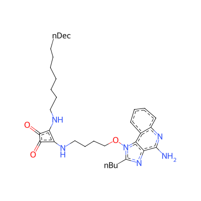 CCCCCCCCCCCCCCCCCNc1c(NCCCCOn2c(CCCC)nc3c(N)nc4ccccc4c32)c(=O)c1=O